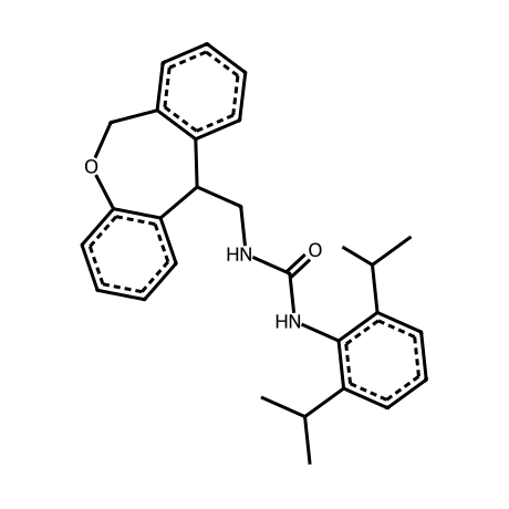 CC(C)c1cccc(C(C)C)c1NC(=O)NCC1c2ccccc2COc2ccccc21